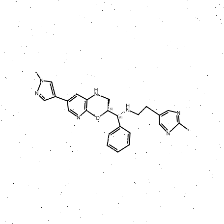 Cc1ncc(CCN[C@H](c2ccccc2)[C@@H]2CNc3cc(-c4cnn(C)c4)cnc3O2)cn1